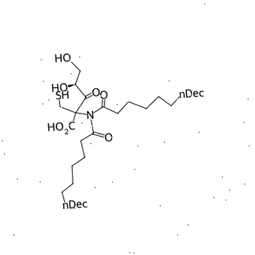 CCCCCCCCCCCCCCCC(=O)N(C(=O)CCCCCCCCCCCCCCC)C(CS)(C(=O)O)C(=O)[C@@H](O)CO